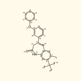 Cc1cc2c(cc1C(F)(F)F)NC(=O)CC(C1=C=C=CC(Oc3ccccc3)=C1)=N2